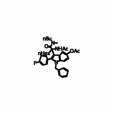 CCCCCCC(NC(C)=O)(C(=O)N(C)CCCC)c1c(-c2ccc(F)cc2)n(Cc2ccccc2)c2ccc(OC(C)=O)cc12